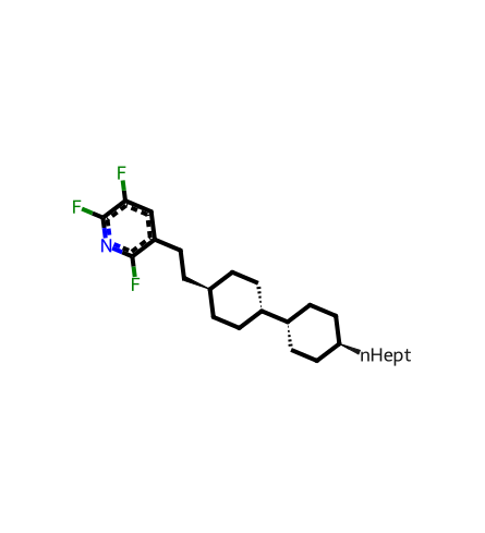 CCCCCCC[C@H]1CC[C@H]([C@H]2CC[C@H](CCc3cc(F)c(F)nc3F)CC2)CC1